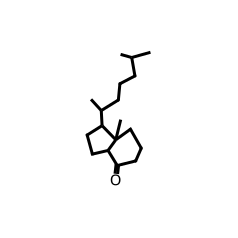 CC(C)CCCC(C)C1CCC2C(=O)CCCC21C